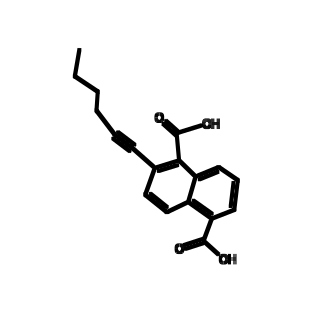 CCCCC#Cc1ccc2c(C(=O)O)cccc2c1C(=O)O